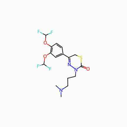 CN(C)CCCN1N=C(c2ccc(OC(F)F)c(OC(F)F)c2)CSC1=O